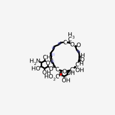 CC1OC(O[C@H]2/C=C/C=C/C=C/C=C/C[C@@H](C)OC(=O)/C=C/[C@H]3O[C@@H]3C[C@H](O)C[C@]3(O)C[C@H](O)[C@@H](C(=O)O)[C@H](C2)O3)C(O)C(O)C1N